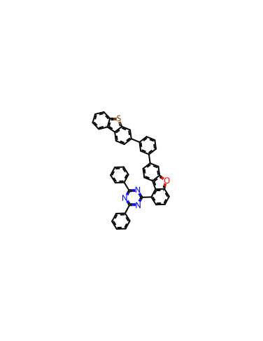 c1ccc(-c2nc(-c3ccccc3)nc(-c3cccc4oc5cc(-c6cccc(-c7ccc8c(c7)sc7ccccc78)c6)ccc5c34)n2)cc1